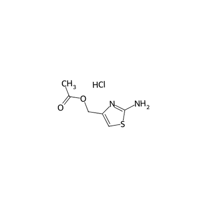 CC(=O)OCc1csc(N)n1.Cl